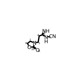 N#CNC(=N)CCN1CCOC1=O